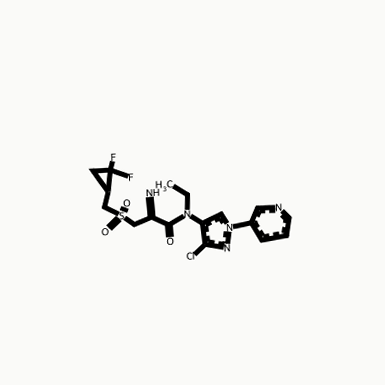 CCN(C(=O)C(=N)CS(=O)(=O)CC1CC1(F)F)c1cn(-c2cccnc2)nc1Cl